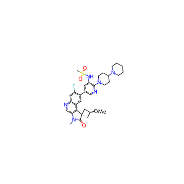 CO[C@H]1C[C@]2(C1)C(=O)N(C)c1cnc3cc(F)c(-c4cnc(N5CCC(N6CCCCC6)CC5)c(NS(C)(=O)=O)c4)cc3c12